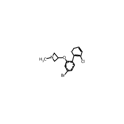 CN1CC(Oc2cc(Br)ccc2C2=C(Cl)C=CC[CH]2)C1